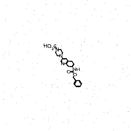 O=C(N[C@H]1CCc2cc(N3CCN(C(=O)O)CC3)cnc2C1)OCc1ccccc1